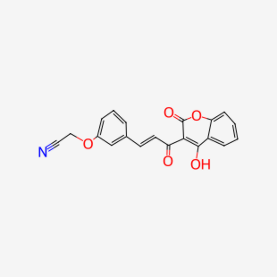 N#CCOc1cccc(/C=C/C(=O)c2c(O)c3ccccc3oc2=O)c1